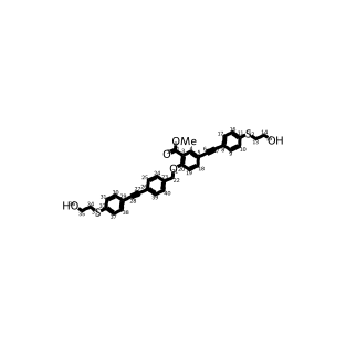 COC(=O)c1cc(C#Cc2ccc(SCCO)cc2)ccc1OCc1ccc(C#Cc2ccc(SCCO)cc2)cc1